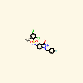 Cc1cc(Cl)cc(Cl)c1S(=O)(=O)Nc1ccc2c(c1)c(=O)[nH]n2Cc1ccc(F)cc1